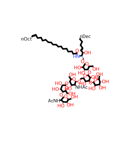 CCCCCCCC/C=C\CCCCCCCCCCCCCCCC(=O)N[C@@H](CO[C@@H]1OC(CO)[C@@H](O[C@@H]2OC(CO[C@@H]3OC(CO)[C@@H](O[C@@H]4OC(CO)[C@H](O[C@@H]5OC(CO)[C@H](O)[C@H](O)C5NC(C)=O)[C@H](O)C4O)[C@H](O)C3NC(C)=O)[C@H](O)[C@H](O[C@H]3OC(CO)[C@H](O)[C@H](O)C3O)C2O)[C@H](O)C1O)[C@H](O)/C=C/CCCCCCCCCCCCC